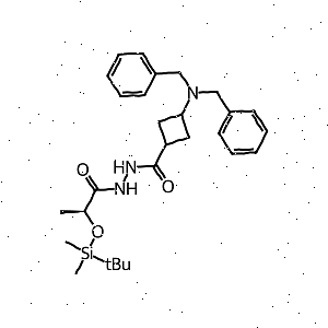 C[C@H](O[Si](C)(C)C(C)(C)C)C(=O)NNC(=O)C1CC(N(Cc2ccccc2)Cc2ccccc2)C1